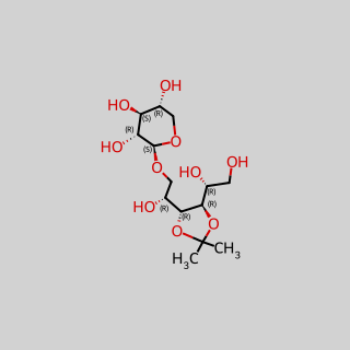 CC1(C)O[C@H]([C@H](O)CO)[C@@H]([C@H](O)CO[C@@H]2OC[C@@H](O)[C@H](O)[C@H]2O)O1